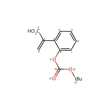 C=C(C(=O)O)c1ccccc1OC(=O)OC(C)(C)C